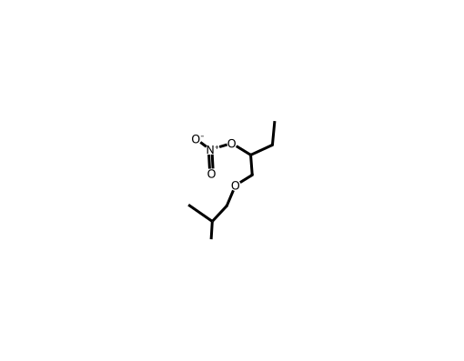 CCC(COCC(C)C)O[N+](=O)[O-]